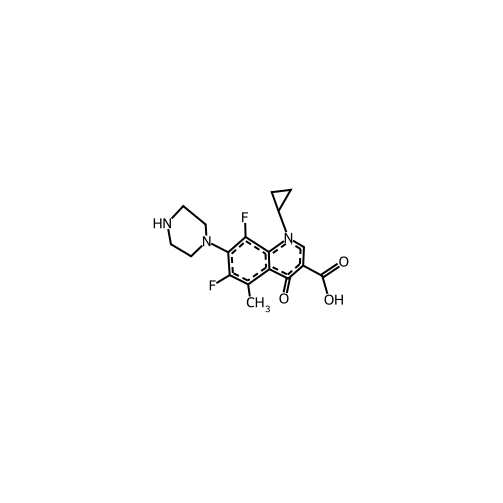 Cc1c(F)c(N2CCNCC2)c(F)c2c1c(=O)c(C(=O)O)cn2C1CC1